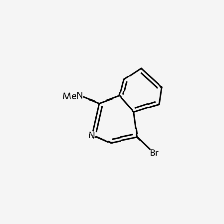 CNc1ncc(Br)c2ccccc12